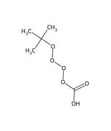 CC(C)(C)OOOOC(=O)O